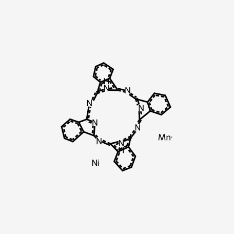 [Mn].[Ni].c1ccc2c(c1)-c1nc-2nc2[nH]c(nc3nc(nc4[nH]c(n1)c1ccccc41)-c1ccccc1-3)c1ccccc21